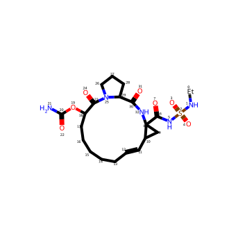 CCNS(=O)(=O)NC(=O)C12CC1/C=C/CCCCCC(OC(N)=O)C(=O)N1CCCC1C(=O)N2